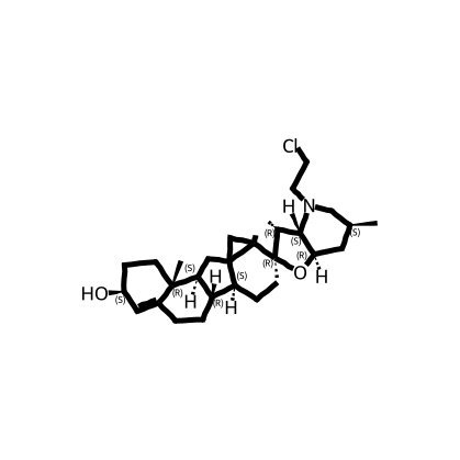 C[C@H]1C[C@H]2O[C@]3(CC[C@H]4[C@@H]5CCC6=C[C@@H](O)CC[C@]6(C)[C@H]5CC45CC53C)[C@H](C)[C@@H]2N(CCCl)C1